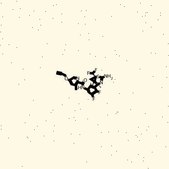 C#CCOc1cnc(C(=O)Nc2cc(F)c(F)c([C@]3(C)N=C(N)S[C@@]4(C(F)F)C[C@@H]34)c2)c(C)c1